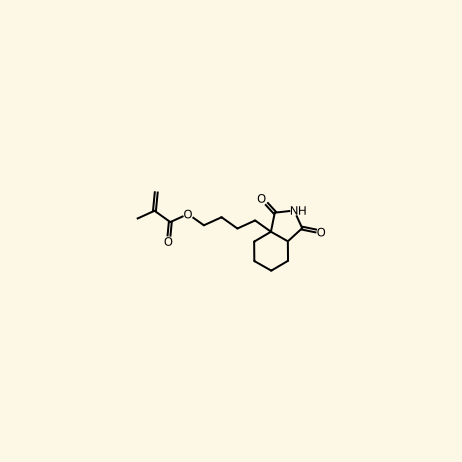 C=C(C)C(=O)OCCCCC12CCCCC1C(=O)NC2=O